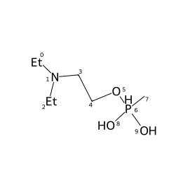 CCN(CC)CCO[PH](C)(O)O